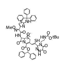 CON=C(C(=O)NC1C(=O)N2C(C(=O)OC(c3ccccc3)c3ccccc3)=C(C=C(S)c3n[nH]c(=O)c(=O)n3CCNC(=O)OC(C)(C)C)C[S+]([O-])C12)c1csc(NC(c2ccccc2)(c2ccccc2)c2ccccc2)n1